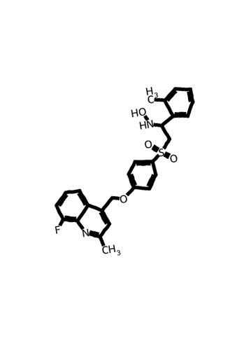 Cc1cc(COc2ccc(S(=O)(=O)CC(NO)c3ccccc3C)cc2)c2cccc(F)c2n1